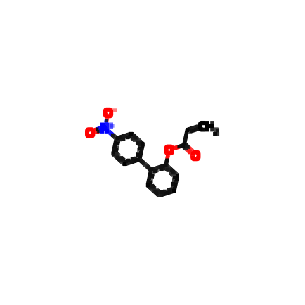 C=CC(=O)Oc1ccccc1-c1ccc([N+](=O)[O-])cc1